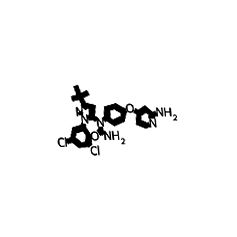 CC(C)(C)c1cc(N(C(N)=O)c2ccc(Oc3ccnc(N)c3)cc2)n(-c2cc(Cl)cc(Cl)c2)n1